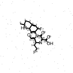 CC1CCC2=CC(F)C3=C(OC=C4C(CCF)N=C(C(=O)O)C(=O)N43)C2N1